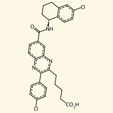 O=C(O)CCCCc1nc2cc(C(=O)N[C@H]3CCCc4cc(Cl)ccc43)ccc2nc1-c1ccc(Cl)cc1